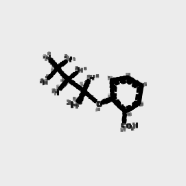 [2H]C([2H])([2H])C([2H])([2H])C([2H])([2H])Oc1ccccc1C(=O)O